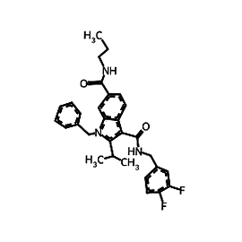 CCCNC(=O)c1ccc2c(C(=O)NCc3ccc(F)c(F)c3)c(C(C)C)n(Cc3ccccc3)c2c1